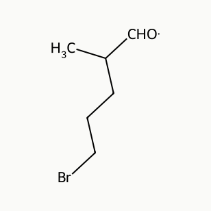 CC([C]=O)CCCBr